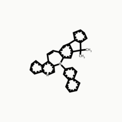 CC1(C)c2ccccc2-c2cc3c(cc21)N(c1ccc2ccccc2c1)c1cnc2ccccc2c1C=C3